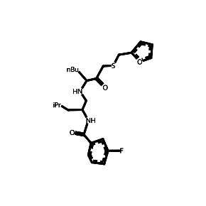 CCCCC(NCC(CC(C)C)NC(=O)c1cccc(F)c1)C(=O)CSCc1ccco1